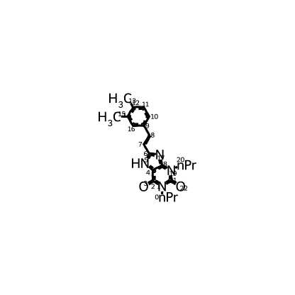 CCCn1c(=O)c2[nH]c(C=Cc3ccc(C)c(C)c3)nc2n(CCC)c1=O